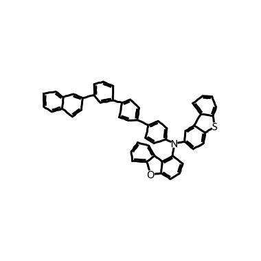 c1cc(-c2ccc(-c3ccc(N(c4ccc5sc6ccccc6c5c4)c4cccc5oc6ccccc6c45)cc3)cc2)cc(-c2ccc3ccccc3c2)c1